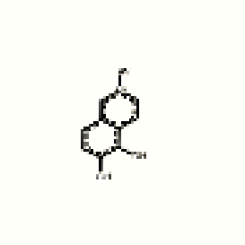 CC(C)[n+]1ccc2c(O)c(O)ccc2c1